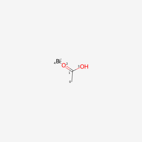 CC(=O)O.[Bi]